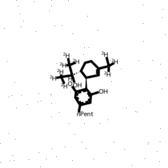 [2H]C([2H])([2H])C1=C[C@@H](c2c(O)cc(CCCCC)cc2O)[C@H](C(O)(C([2H])([2H])[2H])C([2H])([2H])[2H])CC1